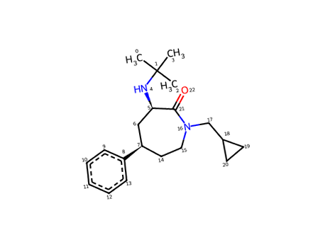 CC(C)(C)N[C@@H]1C[C@H](c2ccccc2)CCN(CC2CC2)C1=O